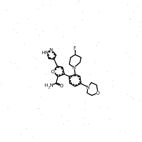 NC(=O)c1oc(-c2cn[nH]c2)cc1-c1ccc(N2CCOCC2)cc1N1CCC(F)CC1